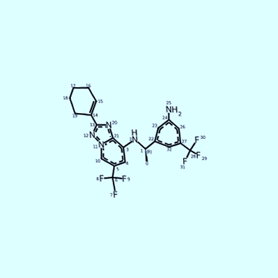 C[C@@H](Nc1cc(C(F)(F)F)cn2nc(C3=CCCCC3)nc12)c1cc(N)cc(C(F)(F)F)c1